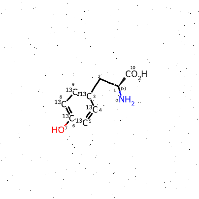 N[C@@H](C[13c]1[13cH][13cH][13c](O)[13cH][13cH]1)C(=O)O